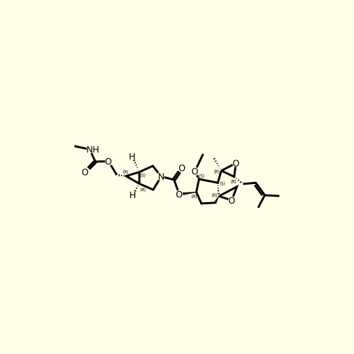 CNC(=O)OC[C@@H]1[C@H]2CN(C(=O)O[C@@H]3CC[C@]4(CO4)[C@@H]([C@@]4(C)O[C@@H]4CC=C(C)C)[C@@H]3OC)C[C@@H]12